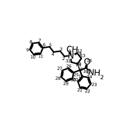 C[N+]1(CCCCc2ccccc2)CC[C@@H](C(C(N)=O)(c2ccccc2)c2ccccc2)C1